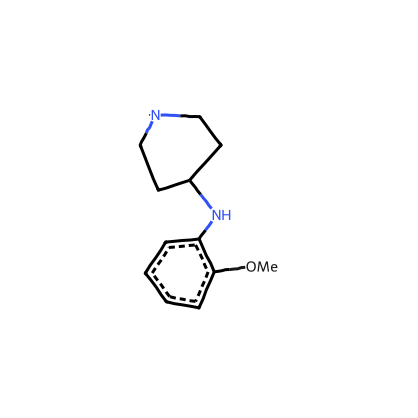 COc1ccccc1NC1CC[N]CC1